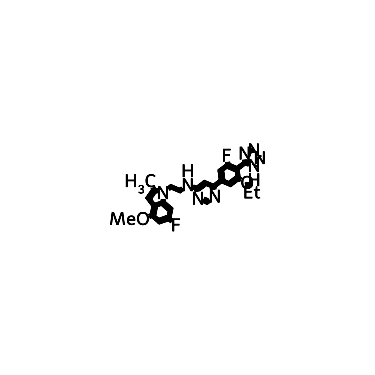 CCOc1cc(-c2cc(NCCn3c(C)cc4c(OC)cc(F)cc43)ncn2)cc(F)c1-c1nnn[nH]1